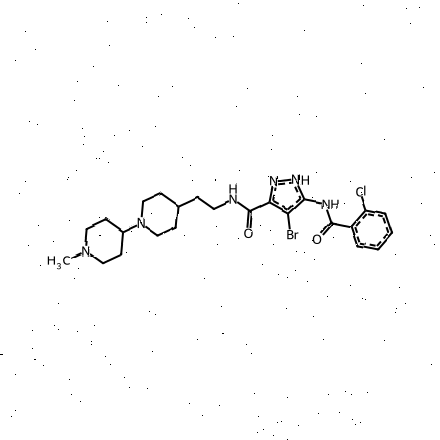 CN1CCC(N2CCC(CCNC(=O)c3n[nH]c(NC(=O)c4ccccc4Cl)c3Br)CC2)CC1